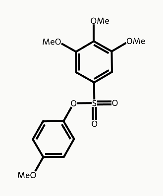 COc1ccc(OS(=O)(=O)c2cc(OC)c(OC)c(OC)c2)cc1